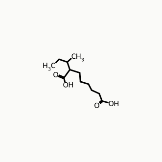 CCC(C)C(CCCCCC(=O)O)C(=O)O